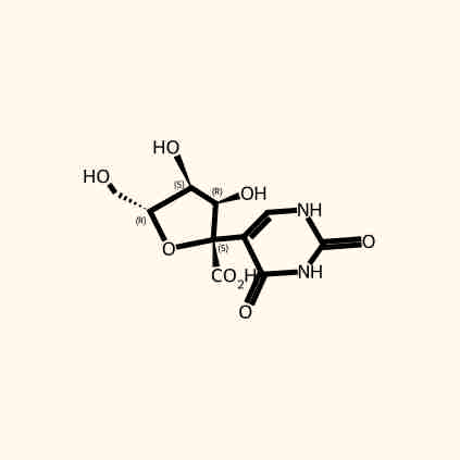 O=C(O)[C@@]1(c2c[nH]c(=O)[nH]c2=O)O[C@H](CO)[C@@H](O)[C@H]1O